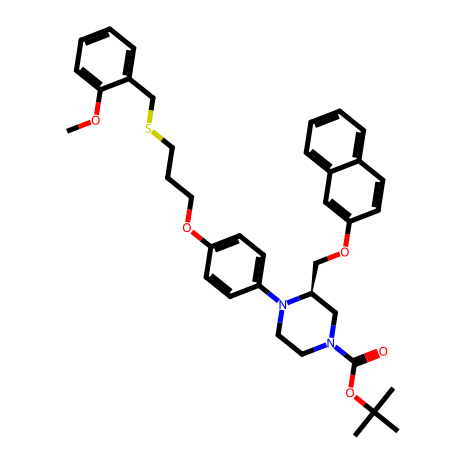 COc1ccccc1CSCCCOc1ccc(N2CCN(C(=O)OC(C)(C)C)C[C@@H]2COc2ccc3ccccc3c2)cc1